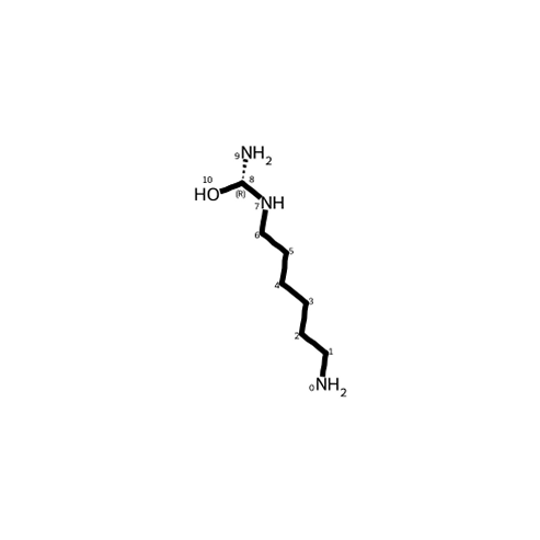 NCCCCCCN[C@@H](N)O